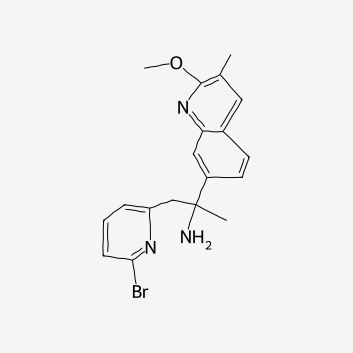 COc1nc2cc(C(C)(N)Cc3cccc(Br)n3)ccc2cc1C